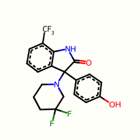 O=C1Nc2c(C(F)(F)F)cccc2C1(c1ccc(O)cc1)N1CCCC(F)(F)C1